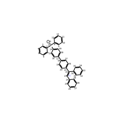 O=P(c1ccccc1)(c1ccccc1)c1ccc(-c2ccc(/C(=C/c3ccccc3)c3ccccc3)cc2)cc1